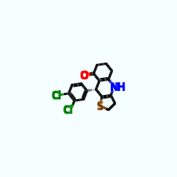 O=C1CCCC2=C1[C@@H](c1ccc(Cl)c(Cl)c1)C1=C(CCS1)N2